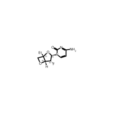 CC[C@]12CO[C@H]1[C@@H](F)[C@H](n1ccc(N)nc1=O)O2